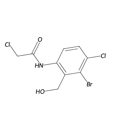 O=C(CCl)Nc1ccc(Cl)c(Br)c1CO